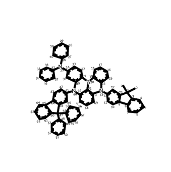 CC1(C)c2ccccc2-c2ccc(N3c4ccccc4B4c5ccc(N(c6ccccc6)c6ccccc6)cc5N(c5ccc6c(c5)C(c5ccccc5)(c5ccccc5)c5ccccc5-6)c5cccc3c54)cc21